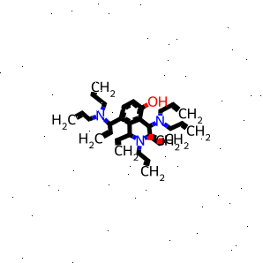 C=CCN(CC=C)C(C=C)c1ccc(O)c(C(C=C)N(CC=C)CC=C)c1C(C=C)N(CC=C)CC=C